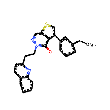 COCc1cccc(-c2csc3cnn(CCc4ccc5ccccc5n4)c(=O)c23)c1